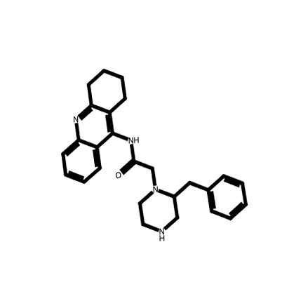 O=C(CN1CCNCC1Cc1ccccc1)Nc1c2c(nc3ccccc13)CCCC2